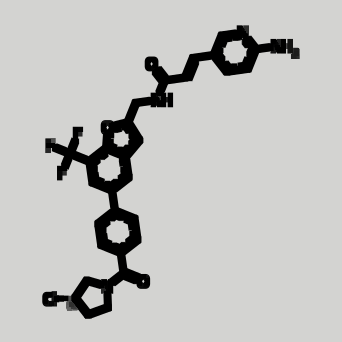 Nc1ccc(C=CC(=O)NCc2cc3cc(-c4ccc(C(=O)N5CC[C@H](Cl)C5)cc4)cc(C(F)(F)F)c3o2)cn1